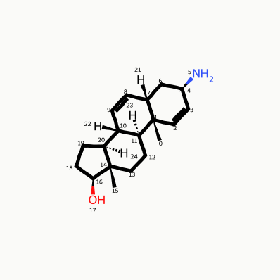 C[C@]12C=C[C@H](N)C[C@H]1C=C[C@@H]1[C@@H]2CC[C@]2(C)[C@@H](O)CC[C@@H]12